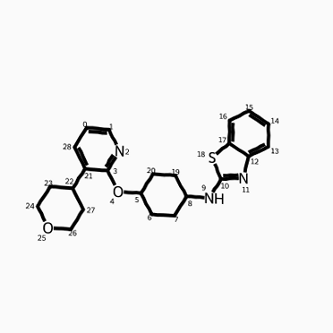 c1cnc(OC2CCC(Nc3nc4ccccc4s3)CC2)c(C2CCOCC2)c1